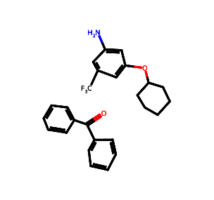 Nc1cc(OC2CCCCC2)cc(C(F)(F)F)c1.O=C(c1ccccc1)c1ccccc1